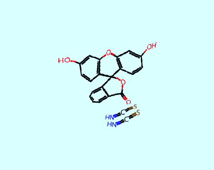 N=C=S.N=C=S.O=C1OC2(c3ccc(O)cc3Oc3cc(O)ccc32)c2ccccc21